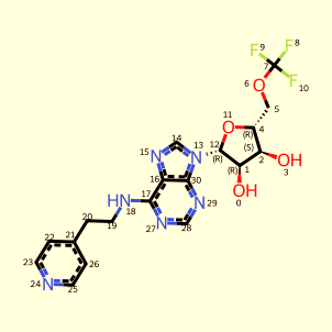 O[C@@H]1[C@H](O)[C@@H](COC(F)(F)F)O[C@H]1n1cnc2c(NCCc3ccncc3)ncnc21